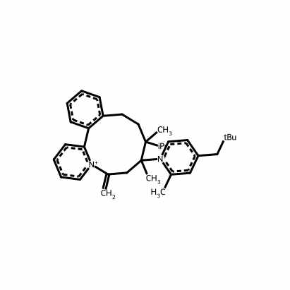 C=C1CC(C)([n+]2ccc(CC(C)(C)C)cc2C)C(C)(C(C)C)CCc2ccccc2-c2cccc[n+]21